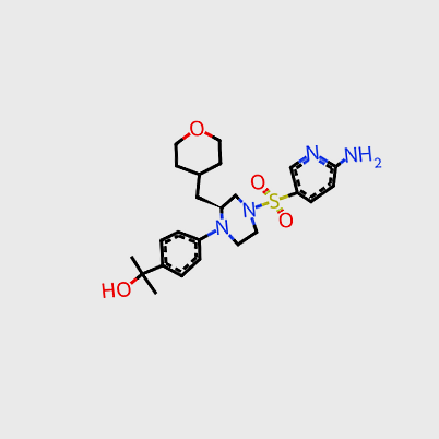 CC(C)(O)c1ccc(N2CCN(S(=O)(=O)c3ccc(N)nc3)C[C@@H]2CC2CCOCC2)cc1